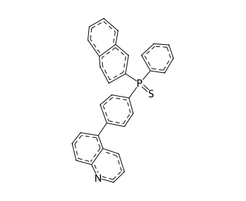 S=P(c1ccccc1)(c1ccc(-c2cccc3ncccc23)cc1)c1ccc2ccccc2c1